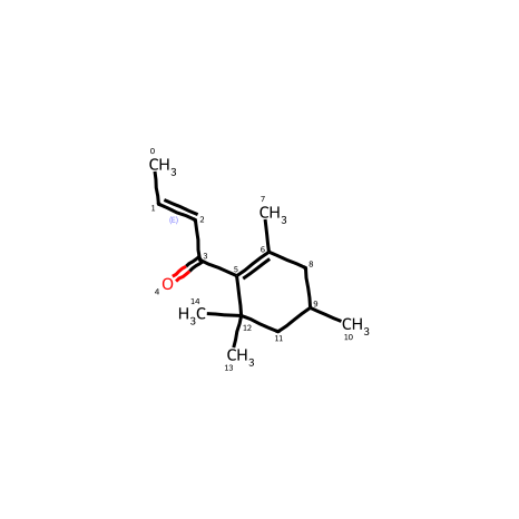 C/C=C/C(=O)C1=C(C)CC(C)CC1(C)C